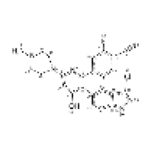 N#Cc1ccc(-c2nc(N3CCC(N)CC3)cc(O)c2-c2ccc3[nH]nc(Cl)c3c2)cc1F